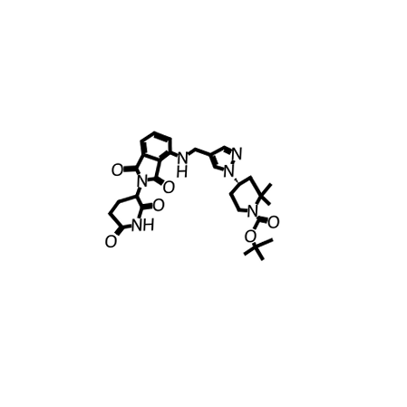 CC(C)(C)OC(=O)N1CC[C@H](n2cc(CNc3cccc4c3C(=O)N(C3CCC(=O)NC3=O)C4=O)cn2)CC1(C)C